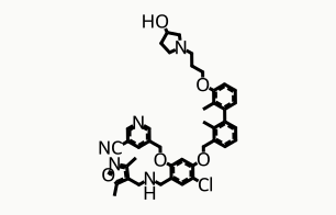 Cc1noc(C)c1CNCc1cc(Cl)c(OCc2cccc(-c3cccc(OCCCN4CCC(O)C4)c3C)c2C)cc1OCc1cncc(C#N)c1